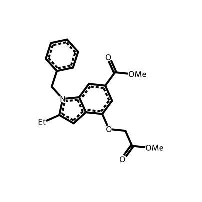 CCc1cc2c(OCC(=O)OC)cc(C(=O)OC)cc2n1Cc1ccccc1